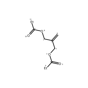 C=C(COC(=O)CC)COC(=O)CC